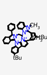 Cc1c2cc(C(C)(C)C)cc1-c1ccc3c4cc(C(C)(C)C)ccc4n4c3[n+]1C(Cn1c(-c3ccccc3)c3ccccc3c1-4)[n+]1c-2n(C)c2ccccc21